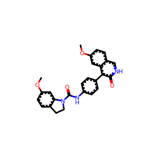 COc1ccc2c(c1)N(C(=O)Nc1ccc(-c3c(=O)[nH]cc4ccc(OC)cc34)cc1)CC2